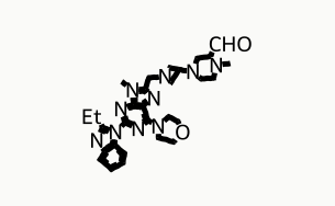 CCc1nc2ccccc2n1-c1nc(N2CCOCC2)c2nc(CN3CC(N4CCN(C)C(C=O)C4)C3)n(C)c2n1